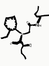 CCc1ccccc1N(CC(=O)NC(C)CC)C(=O)C(Cl)CC